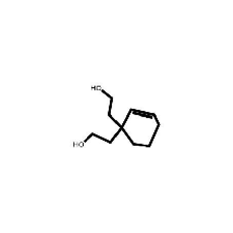 OCCC1(CCO)C=CCCC1